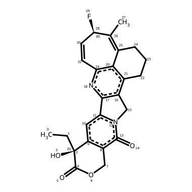 CC[C@@]1(O)C(=O)OCc2c1cc1n(c2=O)Cc2c-1nc1c3c2CCCC3=C(C)[C@H](F)C=C1